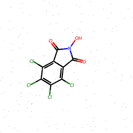 O=C1c2c(Cl)c(Cl)c(Cl)c(Cl)c2C(=O)N1O